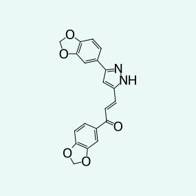 O=C(C=Cc1cc(-c2ccc3c(c2)OCO3)n[nH]1)c1ccc2c(c1)OCO2